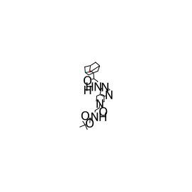 CC(C)(C)OC(=O)NCC(=O)N1CCc2c(ncnc2NCC(O)C23CC4CC(CC(C4)C2)C3)C1